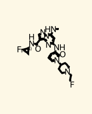 CNc1cc(Nc2cccn(C3CCN(CCF)CC3)c2=O)nc2c(C(=O)N[C@H]3C[C@H]3F)cnn12